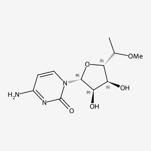 COC(C)[C@H]1O[C@@H](n2ccc(N)nc2=O)[C@H](O)[C@@H]1O